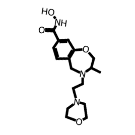 CC1COc2cc(C(=O)NO)ccc2CN1CCN1CCOCC1